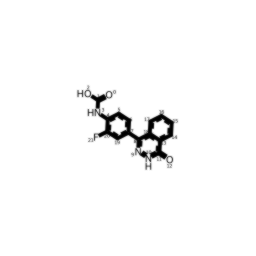 O=C(O)Nc1ccc(-c2n[nH]c(=O)c3ccccc23)cc1F